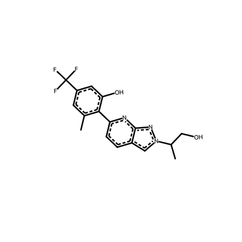 Cc1cc(C(F)(F)F)cc(O)c1-c1ccc2cn(C(C)CO)nc2n1